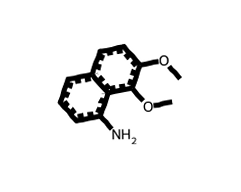 COc1ccc2cccc(N)c2c1OC